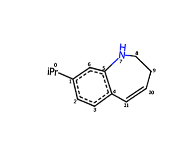 CC(C)c1ccc2c(c1)NCCC=C2